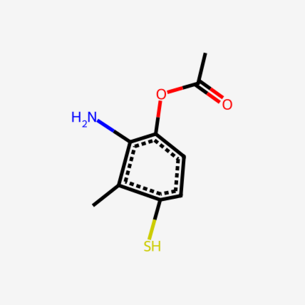 CC(=O)Oc1ccc(S)c(C)c1N